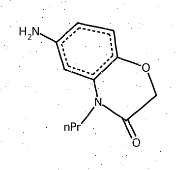 CCCN1C(=O)COc2ccc(N)cc21